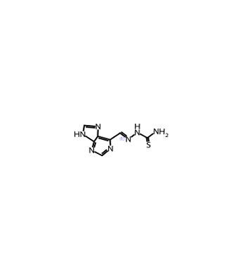 NC(=S)N/N=C/c1ncnc2[nH]cnc12